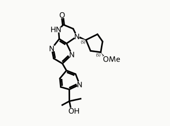 CO[C@H]1CC[C@H](N2CC(=O)Nc3ncc(-c4ccc(C(C)(C)O)nc4)nc32)C1